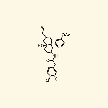 C=CCN1CC[C@@]2(c3cccc(OC(C)=O)c3)C[C@@H](NC(=O)Cc3ccc(Cl)c(Cl)c3)CC[C@]2(O)C1